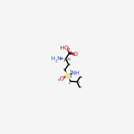 CC(C)CS(=N)(=O)CC[C@H](N)C(=O)O